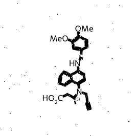 C#CCN(c1ccc(NSc2ccc(OC)c(OC)c2)c2ccccc12)[C@@H](C)CC(=O)O